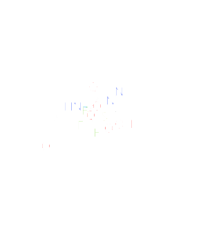 CCCCCC1=NN(C(=O)C(=O)Nc2ccc(OC)cc2)C(O)(S(=O)(=O)C(F)(F)F)C1